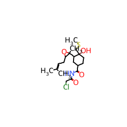 CSCC1(O)CCC(C(=O)NC(=O)CCl)CC1C1(C)OC1CC=C(C)C